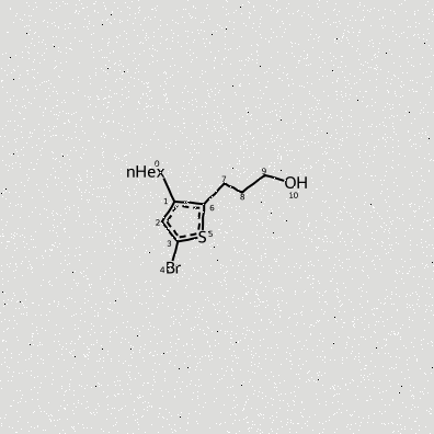 CCCCCCc1cc(Br)sc1CCCO